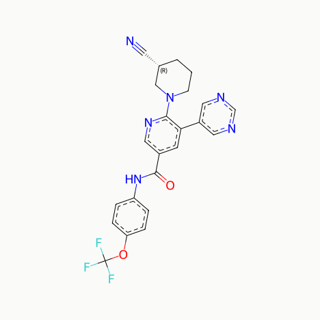 N#C[C@@H]1CCCN(c2ncc(C(=O)Nc3ccc(OC(F)(F)F)cc3)cc2-c2cncnc2)C1